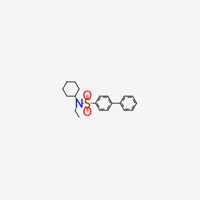 CCN(C1CCCCC1)S(=O)(=O)c1ccc(-c2ccccc2)cc1